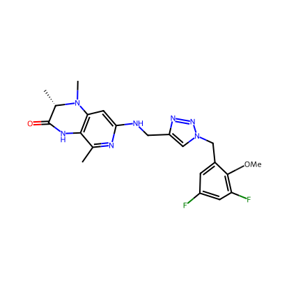 COc1c(F)cc(F)cc1Cn1cc(CNc2cc3c(c(C)n2)NC(=O)[C@H](C)N3C)nn1